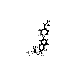 CN(C)CC1CCN(c2ccc(CC(C)(C)OC(N)=O)cc2)CC1